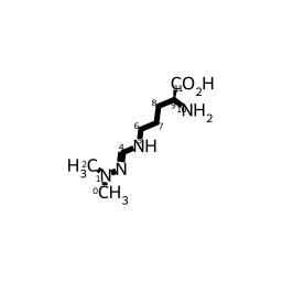 CN(C)N=CNCCC[C@H](N)C(=O)O